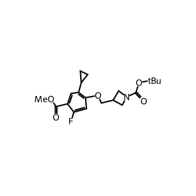 COC(=O)c1cc(C2CC2)c(OCC2CN(C(=O)OC(C)(C)C)C2)cc1F